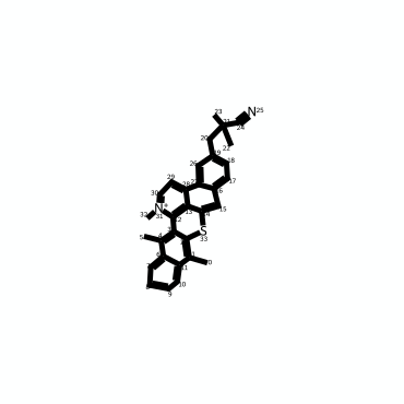 Cc1c2c(c(C)c3ccccc13)-c1c3c(cc4ccc(CC(C)(C)C#N)cc4c3cc[n+]1C)S2